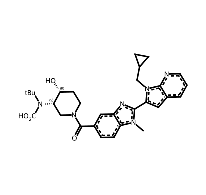 Cn1c(-c2cc3cccnc3n2CC2CC2)nc2cc(C(=O)N3CC[C@@H](O)[C@@H](N(C(=O)O)C(C)(C)C)C3)ccc21